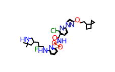 CC1(C)CC(CC(F)CNc2cccc(S(=O)(=O)NC(=O)c3ccc(-n4ccc(OCCC5CCC56CC6)n4)nc3Cl)n2)CN1